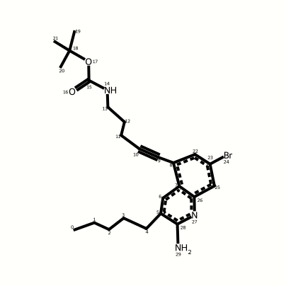 CCCCCc1cc2c(C#CCCCNC(=O)OC(C)(C)C)cc(Br)cc2nc1N